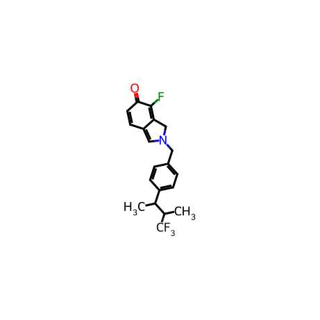 CC(c1ccc(CN2C=C3C=CC(=O)C(F)=C3C2)cc1)C(C)C(F)(F)F